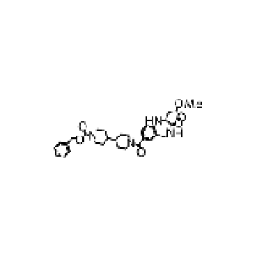 COC(=O)CC1Nc2ccc(C(=O)N3CCC(C4CCN(C(=O)OCc5ccccc5)CC4)CC3)cc2CNC1=O